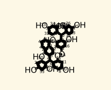 Oc1ccc(C(c2ccc(O)cc2OOc2cc(O)c(C(c3ccc(O)cc3O)c3ccc(O)cc3O)c(O)c2)c2ccc3ccccc3c2O)c(O)c1